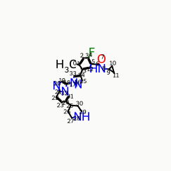 Cc1cc(F)c(C(=O)NC2CC2)cc1-c1cnn(-c2cnc3ccc(C4CCNCC4)cn23)c1